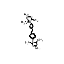 NC1=NC(N)N(c2ccc(C=Cc3ccc(N4C(N)=NC(N)=NC4N)cc3)cc2)C(N)=N1